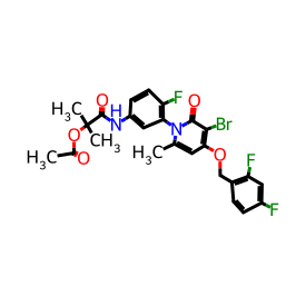 CC(=O)OC(C)(C)C(=O)Nc1ccc(F)c(-n2c(C)cc(OCc3ccc(F)cc3F)c(Br)c2=O)c1